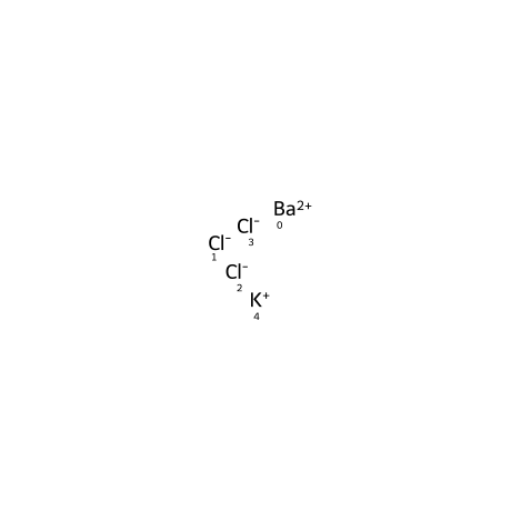 [Ba+2].[Cl-].[Cl-].[Cl-].[K+]